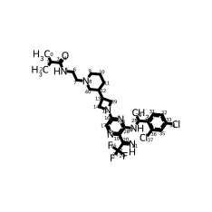 CC(C)C(=O)NCCN1CCCC(C2CN(c3cnc(C(=N)C(F)(F)F)c(NC(C)c4ccc(Cl)cc4Cl)n3)C2)C1